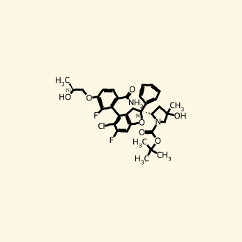 C[C@H](O)COc1ccc(C(N)=O)c(-c2c(Cl)c(F)cc3c2C[C@](c2ccccc2)(C2CC(C)(O)CN2C(=O)OC(C)(C)C)O3)c1F